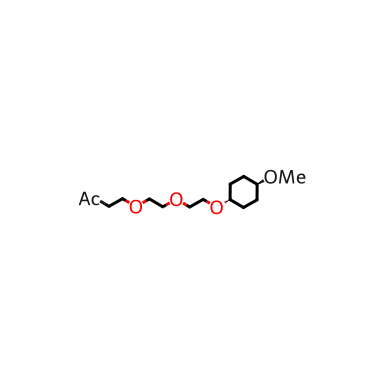 CO[C@H]1CC[C@H](OCCOCCOCCC(C)=O)CC1